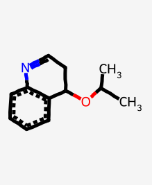 CC(C)OC1CC=Nc2ccccc21